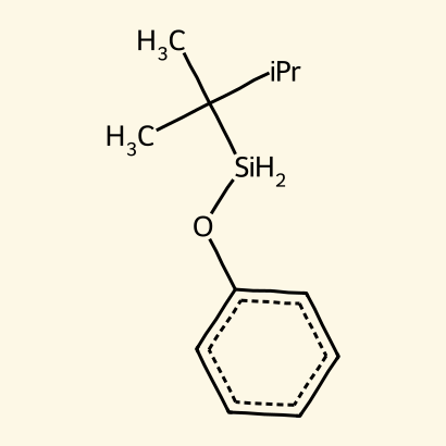 CC(C)C(C)(C)[SiH2]Oc1ccccc1